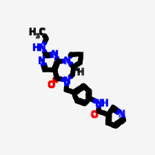 CCNc1ncc2c(n1)N1CCC[C@H]1CN(Cc1ccc(NC(=O)c3cccnc3)cc1)C2=O